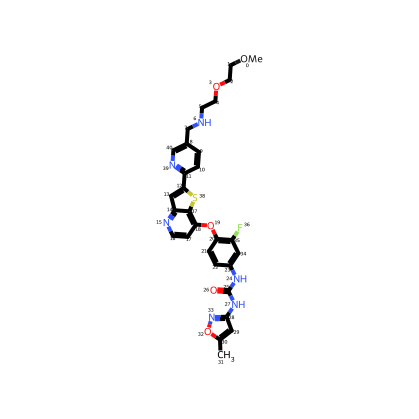 COCCOCCNCc1ccc(-c2cc3nccc(Oc4ccc(NC(=O)Nc5cc(C)on5)cc4F)c3s2)nc1